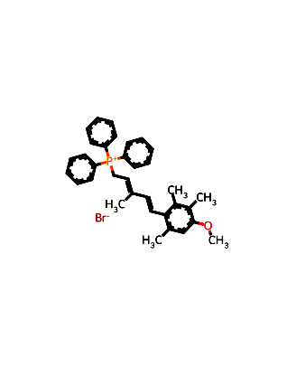 COc1cc(C)c(/C=C/C(C)=C/C[P+](c2ccccc2)(c2ccccc2)c2ccccc2)c(C)c1C.[Br-]